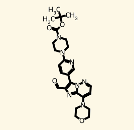 CC(C)(C)OC(=O)N1CCN(c2ccc(-c3c(C=O)nc4c(N5CCOCC5)ccnn34)cn2)CC1